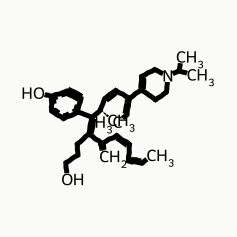 C=C(/C=C\C=C/C)/C(CCCO)=C(/c1c#cc(O)cc1)[C@@H](C)/C=C\C(=C/C)C1=CCN(C(C)C)CC1